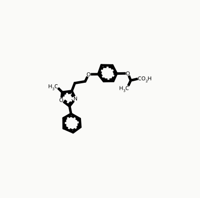 Cc1oc(-c2ccccc2)nc1CCOc1ccc(OC(C)C(=O)O)cc1